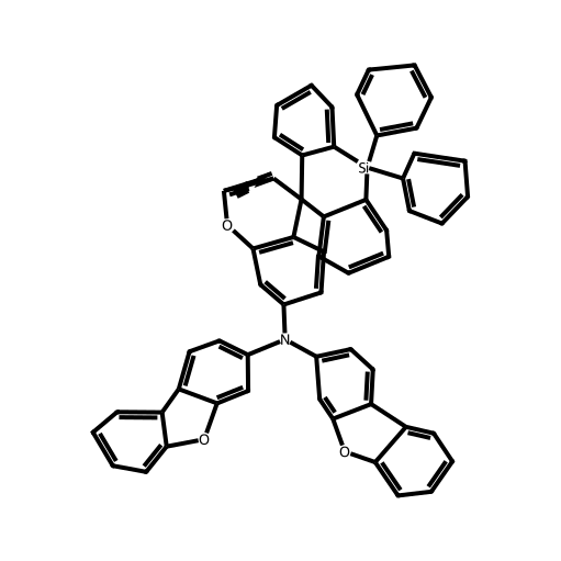 c1ccc([Si]2(c3ccccc3)c3ccccc3C3(c4ccccc4Oc4cc(N(c5ccc6c(c5)oc5ccccc56)c5ccc6c(c5)oc5ccccc56)ccc43)c3ccccc32)cc1